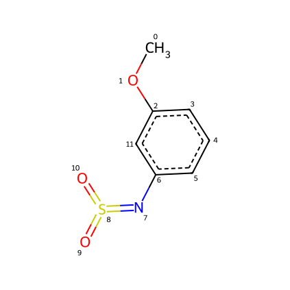 COc1cccc(N=S(=O)=O)c1